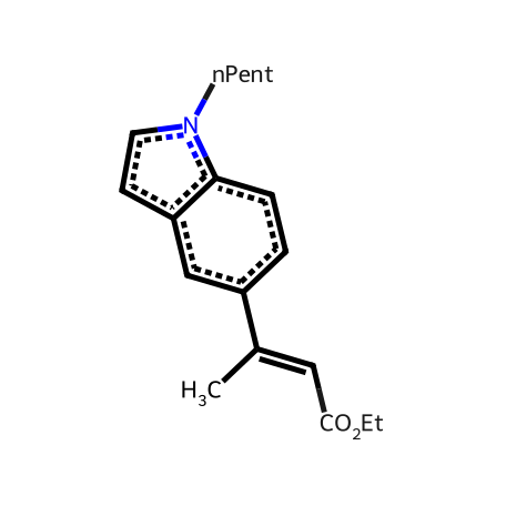 CCCCCn1ccc2cc(C(C)=CC(=O)OCC)ccc21